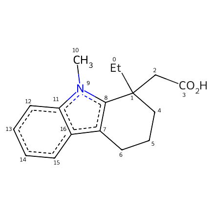 CCC1(CC(=O)O)CCCc2c1n(C)c1ccccc21